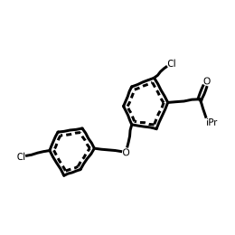 CC(C)C(=O)c1cc(Oc2ccc(Cl)cc2)ccc1Cl